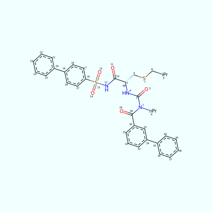 CCCN(C(=O)N[C@@H](CSCC(C)C)C(=O)NS(=O)(=O)c1ccc(-c2ccccc2)cc1)C(=O)c1cccc(-c2ccccc2)c1